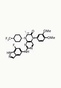 COc1ccc(N2C(=O)[C@@H](C)N([C@H]3CC[C@H](C(F)(F)F)CC3)c3nc(Nc4cc(F)c5[nH]ncc5c4)ncc32)cc1OC